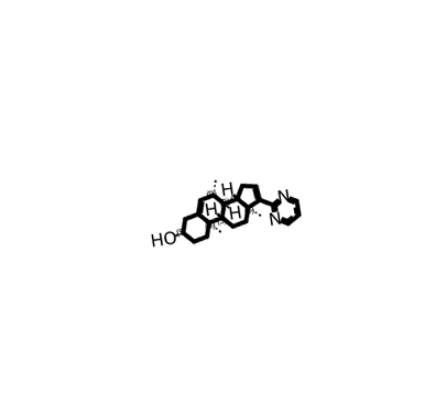 C[C@H]1C=C2C[C@@H](O)CC[C@]2(C)[C@H]2CC[C@]3(C)C(c4ncccn4)=CC[C@H]3[C@H]12